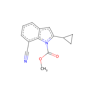 COC(=O)n1c(C2CC2)cc2cccc(C#N)c21